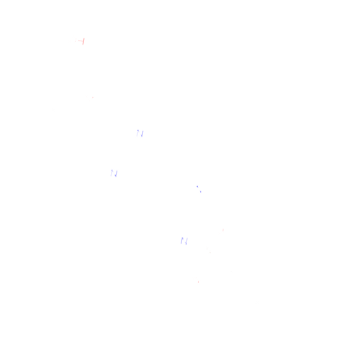 O=S(=O)(c1ccccc1)N1CC=c2c1ncc1c2=NC(c2ccc(CO)o2)=N1